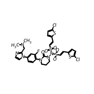 CN(C)Cc1nccn1-c1ccc(N2CCCN(N(S(=O)(=O)/C=C/c3ccc(Cl)s3)S(=O)(=O)/C=C/c3ccc(Cl)s3)C2=O)c(F)c1